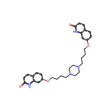 O=c1ccc2ccc(OCCCCN3CCN(CCCCOc4ccc5ccc(=O)[nH]c5c4)CC3)cc2[nH]1